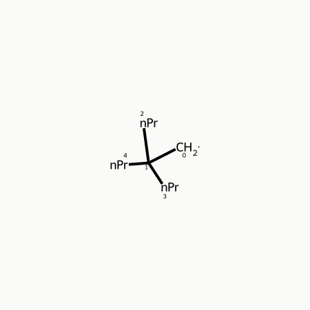 [CH2]C(CCC)(CCC)CCC